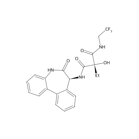 CC[C@](O)(C(=O)NCC(F)(F)F)C(=O)N[C@@H]1C(=O)Nc2ccccc2-c2ccccc21